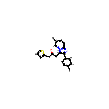 Cc1ccc(-c2nc3ccc(C)cn3c2CC(=O)Cc2cccs2)cc1